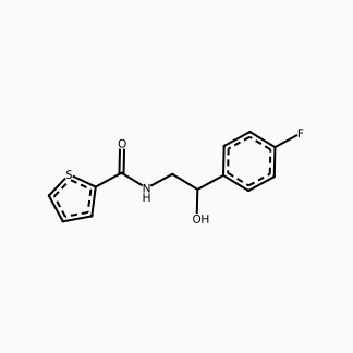 O=C(NCC(O)c1ccc(F)cc1)c1cccs1